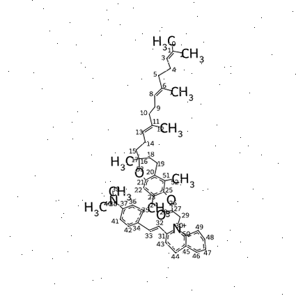 CC(C)=CCC/C(C)=C/CC/C(C)=C/CCC1(C)CCc2c(cc(C)c(OC(=O)C[n+]3c(/C=C/c4ccc(N(C)C)cc4)ccc4ccccc43)c2C)O1